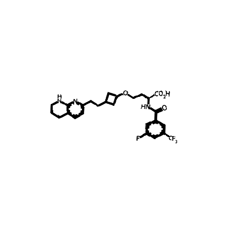 O=C(N[C@@H](CCOC1CC(CCc2ccc3c(n2)NCCC3)C1)C(=O)O)c1cc(F)cc(C(F)(F)F)c1